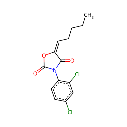 CCCCC=C1OC(=O)N(c2ccc(Cl)cc2Cl)C1=O